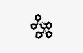 c1ccc(P(c2ccccc2)c2cc(P(c3ccccc3)c3ccccc3)c3ccccc3n2)cc1